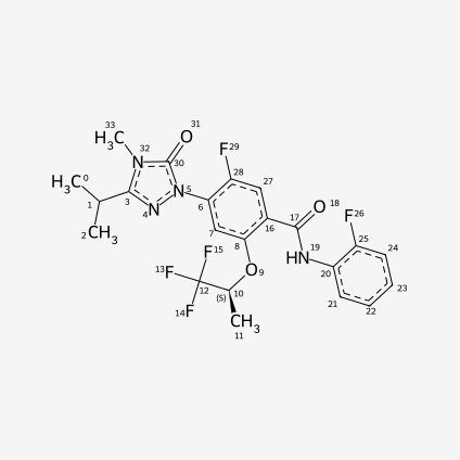 CC(C)c1nn(-c2cc(O[C@@H](C)C(F)(F)F)c(C(=O)Nc3ccccc3F)cc2F)c(=O)n1C